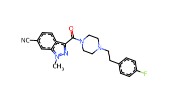 Cn1nc(C(=O)N2CCN(CCc3ccc(F)cc3)CC2)c2ccc(C#N)cc21